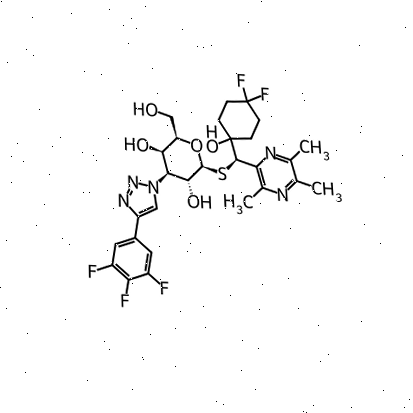 Cc1nc(C)c([C@@H](S[C@@H]2O[C@H](CO)[C@H](O)[C@H](n3cc(-c4cc(F)c(F)c(F)c4)nn3)[C@H]2O)C2(O)CCC(F)(F)CC2)nc1C